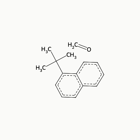 C=O.CC(C)(C)c1cccc2ccccc12